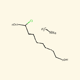 CCCCCCCCCCCCCCCCCC(Cl)CCCCCCCC.CNC